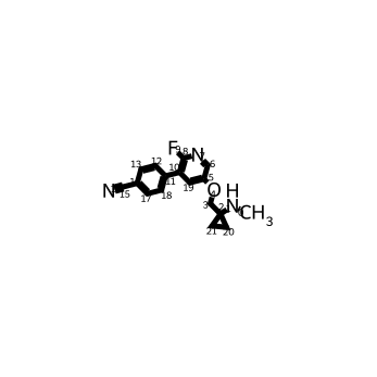 CNC1(COc2cnc(F)c(-c3ccc(C#N)cc3)c2)CC1